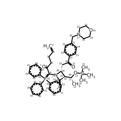 C=CCCC(=O)C(N1C(=O)[C@H]([C@@H](C)O[Si](C)(C)C)[C@H]1CC(=O)c1ccc(CN2CCOCC2)cc1)=P(c1ccccc1)(c1ccccc1)c1ccccc1